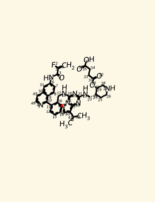 C=C(F)C(=O)Nc1ccc2c(-c3ccccc3CNc3nc(NC[C@H]4CCNC[C@@H]4OC(=O)CCC(=O)O)nc4c(C(C)C)cnn34)nccc2c1